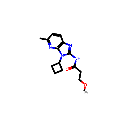 Cc1ccc2nc(NC(=O)CCOC(C)C)n(C3CCC3)c2n1